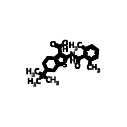 Cc1cccc(C)c1C(=O)Nc1sc2c(c1C(=O)O)CCC(C(C)(C)C)C2